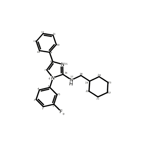 Fc1cccc(-n2cc(-c3ccccc3)nc2NCC2CCCCC2)c1